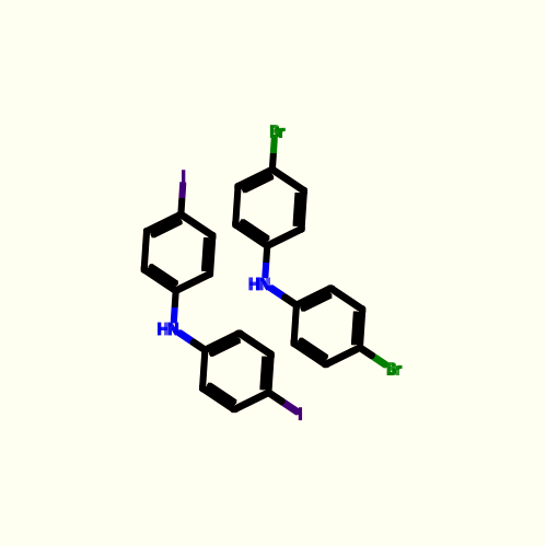 Brc1ccc(Nc2ccc(Br)cc2)cc1.Ic1ccc(Nc2ccc(I)cc2)cc1